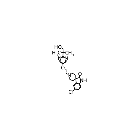 CC(C)(CO)c1ncc(OCCN2CCC3(CC2)C(=O)Nc2ccc(Cl)cc23)cn1